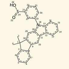 CC1(C)c2ccccc2-c2cc3c4ccccc4n(-c4cccc(S(=O)O)c4)c3cc21